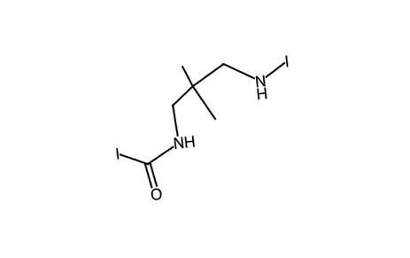 CC(C)(CNI)CNC(=O)I